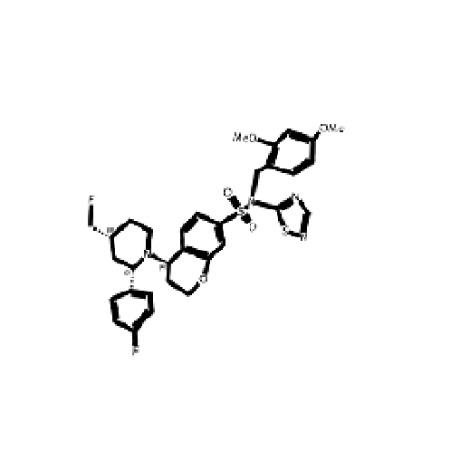 COc1ccc(CN(c2ncns2)S(=O)(=O)c2ccc3c(c2)OCC[C@H]3N2CC[C@@H](CF)C[C@H]2c2ccc(F)cc2)c(OC)c1